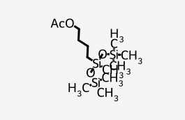 CC(=O)OCCCC[Si](C)(O[Si](C)(C)C)O[Si](C)(C)C